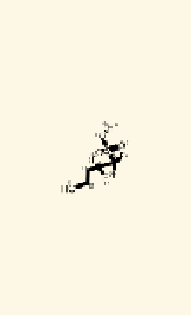 [3H]OS(=O)(=O)C(F)(F)C(F)(F)CCO